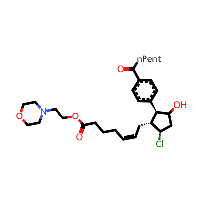 CCCCCC(=O)c1ccc([C@H]2C(O)C[C@@H](Cl)[C@@H]2C/C=C\CCCC(=O)OCCN2CCOCC2)cc1